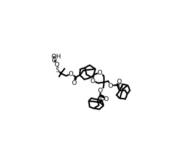 CC(C)(COC(=O)C12CC3CC(C1)C1(OCC(COC(=O)C45CC6CC(C4)C(=O)C(C6)C5)(COC(=O)C45CC6CC(C4)C(=O)C(C6)C5)CO1)C(C3)C2)SOOO